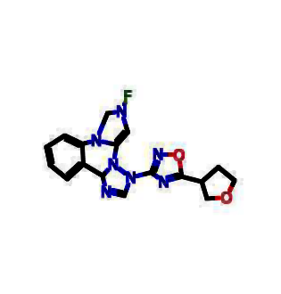 FN1C=C2N(C1)c1ccccc1C1N=CN(c3noc(C4CCOC4)n3)N21